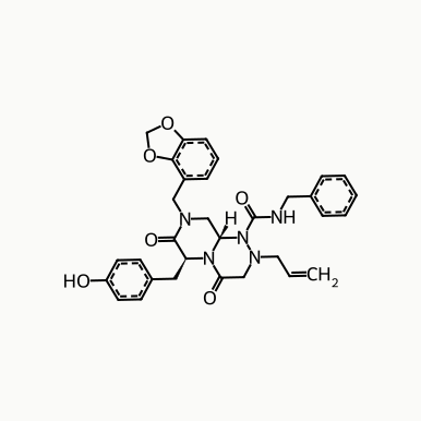 C=CCN1CC(=O)N2[C@@H](Cc3ccc(O)cc3)C(=O)N(Cc3cccc4c3OCO4)C[C@@H]2N1C(=O)NCc1ccccc1